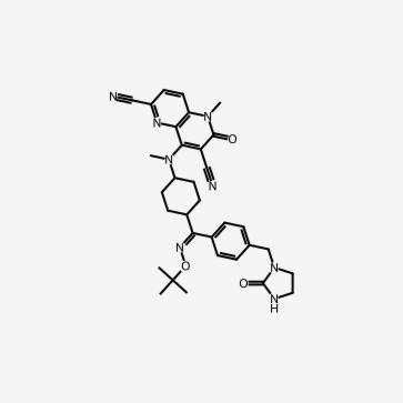 CN(c1c(C#N)c(=O)n(C)c2ccc(C#N)nc12)C1CCC(/C(=N/OC(C)(C)C)c2ccc(CN3CCNC3=O)cc2)CC1